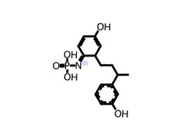 CC(CCC1C=C(O)C=C/C1=N\P(=O)(O)O)c1cccc(O)c1